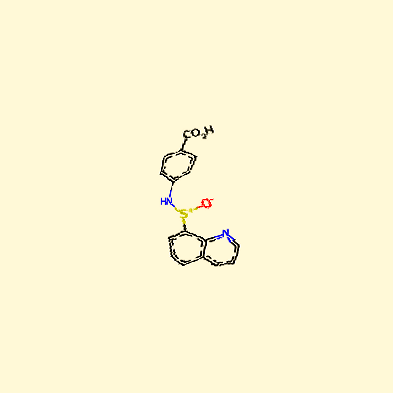 O=C(O)c1ccc(N[S+]([O-])c2cccc3cccnc23)cc1